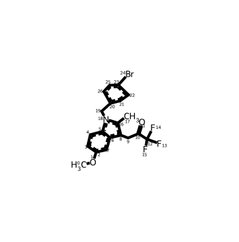 COc1ccc2c(c1)c(CC(=O)C(F)(F)F)c(C)n2Cc1ccc(Br)cc1